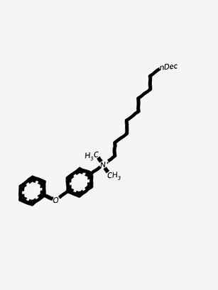 CCCCCCCCCCCCCCCCCC[N+](C)(C)c1ccc(Oc2ccccc2)cc1